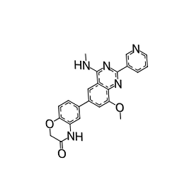 CNc1nc(-c2cccnc2)nc2c(OC)cc(-c3ccc4c(c3)NC(=O)CO4)cc12